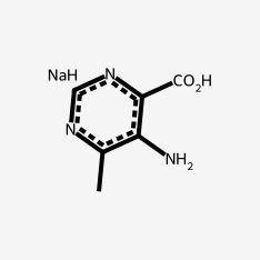 Cc1ncnc(C(=O)O)c1N.[NaH]